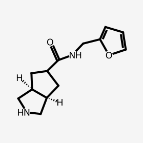 O=C(NCc1ccco1)C1C[C@H]2CNC[C@H]2C1